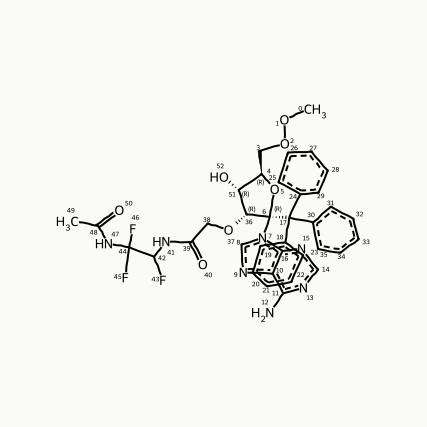 COOC[C@H]1O[C@](n2cnc3c(N)ncnc32)(C(c2ccccc2)(c2ccccc2)c2ccccc2)[C@H](OCC(=O)NC(F)C(F)(F)NC(C)=O)[C@@H]1O